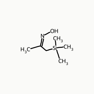 CC(C[Si](C)(C)C)=NO